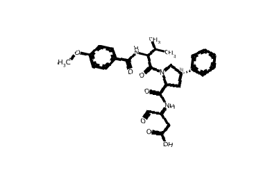 COc1ccc(C(=O)NC(C(=O)N2C[C@H](c3ccccc3)CC2C(=O)NC(C=O)CC(=O)O)C(C)C)cc1